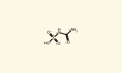 NC(=O)NS(=O)(=O)O